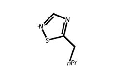 CCCCC1=NC=[N+]S1